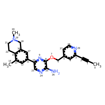 CC#Cc1cc(COc2nc(-c3cc(C)c4c(c3)CN(C)CC4)cnc2N)ccn1